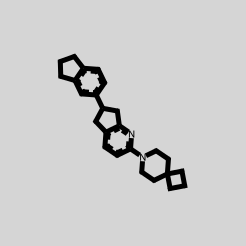 c1cc2c(cc1C1Cc3ccc(N4CCC5(CCC5)CC4)nc3C1)CCC2